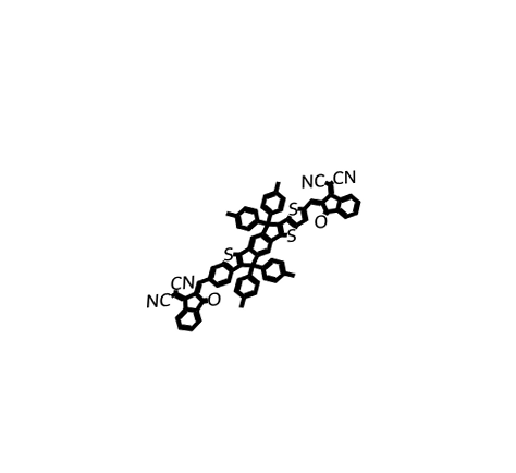 Cc1ccc(C2(c3ccc(C)cc3)c3cc4c(cc3-c3sc5cc(/C=C6\C(=O)c7ccccc7C6=C(C#N)C#N)ccc5c32)C(c2ccc(C)cc2)(c2ccc(C)cc2)c2c-4sc3cc(/C=C4\C(=O)c5ccccc5C4=C(C#N)C#N)sc23)cc1